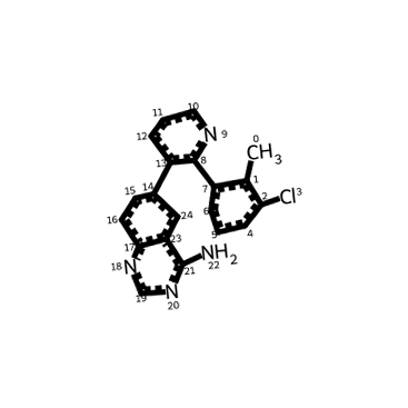 Cc1c(Cl)cccc1-c1ncccc1-c1ccc2ncnc(N)c2c1